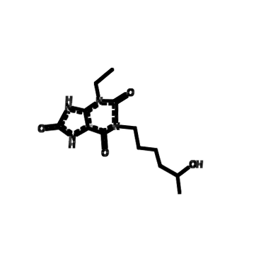 CCn1c(=O)n(CCCCC(C)O)c(=O)c2[nH]c(=O)[nH]c21